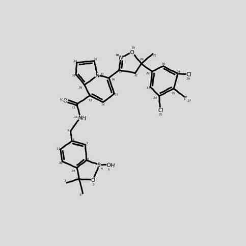 CC1(C)OB(O)c2cc(CNC(=O)c3ccc(C4=NOC(C)(c5cc(Cl)c(F)c(Cl)c5)C4)n4cccc34)ccc21